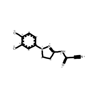 N#CC(=O)NC1=NN(c2ccc(Cl)c(Cl)c2)CC1